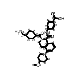 COC1CCN(c2cccc3c2CCN(C(=O)C2CCC(CN)CC2)C3C(=O)Nc2ccc(C(=O)O)cc2)CC1